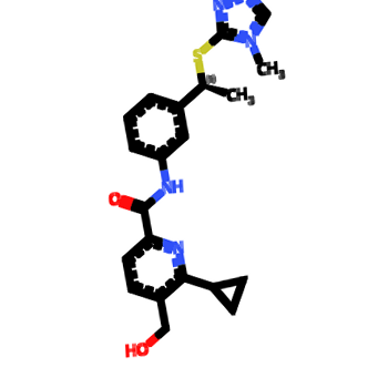 C[C@H](Sc1nncn1C)c1cccc(NC(=O)c2ccc(CO)c(C3CC3)n2)c1